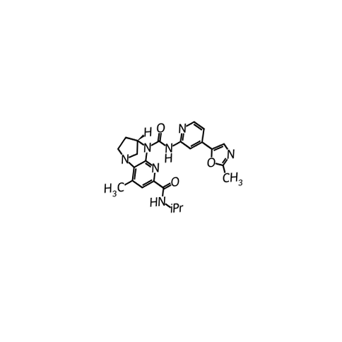 Cc1ncc(-c2ccnc(NC(=O)N3c4nc(C(=O)NC(C)C)cc(C)c4N4CC[C@H]3C4)c2)o1